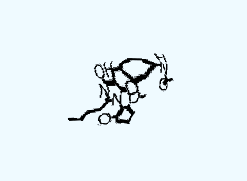 CCCCc1nc(O)c(Cc2ccc(NC(C)=O)cc2)c(=O)n1-c1c(OC)cccc1OC